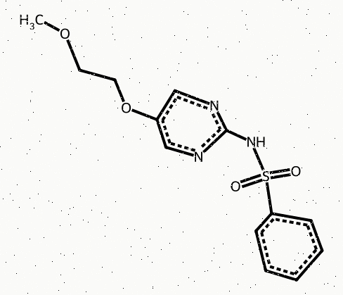 COCCOc1cnc(NS(=O)(=O)c2ccccc2)nc1